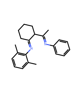 C/C(=N\c1ccccc1)C1CCCC/C1=N\c1c(C)cccc1C